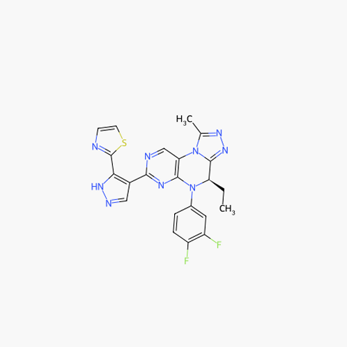 CC[C@@H]1c2nnc(C)n2-c2cnc(-c3cn[nH]c3-c3nccs3)nc2N1c1ccc(F)c(F)c1